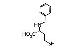 O=C(O)[C@@H](CCS)NCc1ccccc1